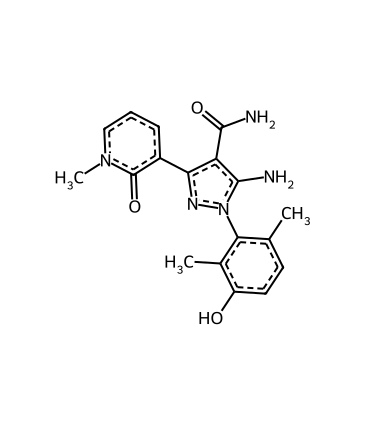 Cc1ccc(O)c(C)c1-n1nc(-c2cccn(C)c2=O)c(C(N)=O)c1N